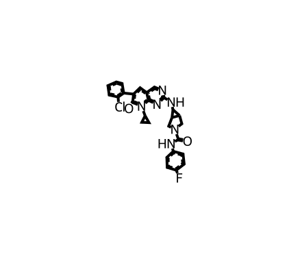 O=C(Nc1ccc(F)cc1)N1CC2C(C1)C2Nc1ncc2cc(-c3ccccc3Cl)c(=O)n(C3CC3)c2n1